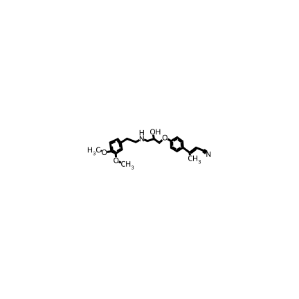 COc1ccc(CCNCC(O)COc2ccc(C(C)=CC#N)cc2)cc1OC